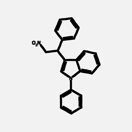 O=[N+]([O-])CC(c1ccccc1)c1cn(-c2ccccc2)c2ccccc12